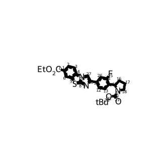 CCOC(=O)c1ccc2c(c1)sc1nc(-c3ccc(C4CCCN4C(=O)OC(C)(C)C)c(F)c3)cn12